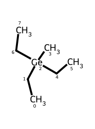 C[CH2][Ge]([CH3])([CH2]C)[CH2]C